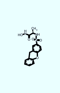 C[C@@H](NS(=O)(=O)c1ccc2c(c1)Cc1ccccc1O2)C(=O)NO